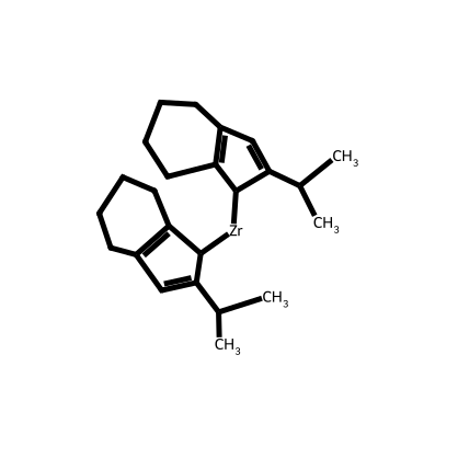 CC(C)C1=CC2=C(CCCC2)[CH]1[Zr][CH]1C(C(C)C)=CC2=C1CCCC2